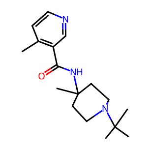 Cc1ccncc1C(=O)NC1(C)CCN(C(C)(C)C)CC1